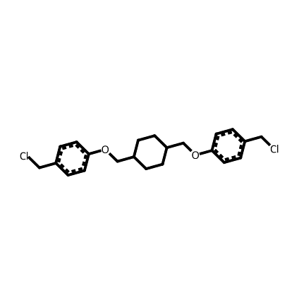 ClCc1ccc(OCC2CCC(COc3ccc(CCl)cc3)CC2)cc1